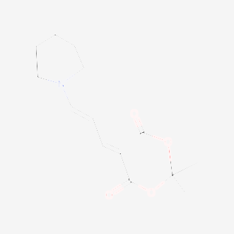 CC1(C)OC(=O)C(=C/C=C/N2CCCCC2)C(=O)O1